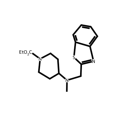 CCOC(=O)N1CCC(N(C)Cc2nc3ccccc3s2)CC1